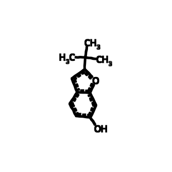 CC(C)(C)c1cc2ccc(O)cc2o1